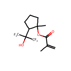 C=C(C)C(=O)OC1(C)CCCC1C(O)(C(F)(F)F)C(F)(F)F